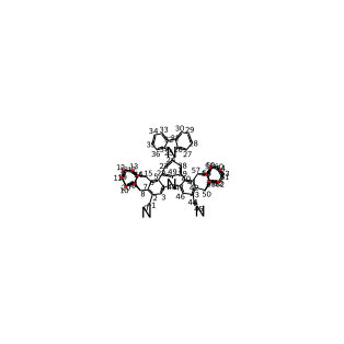 N#Cc1cc2c(c3c1C1c4ccccc4C3c3ccccc31)c1cc(-n3c4ccccc4c4ccccc43)cc3c4c5c(c(C#N)cc4n2c13)C1c2ccccc2C5c2ccccc21